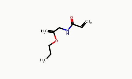 C=CC(=O)NCC(=C)OCCC